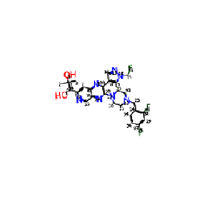 CC(C)(O)[C@@H](O)c1cc2nc(-c3cnn(CF)c3)c(N3CCN(Cc4ccc(F)cc4F)CC3)nc2cn1